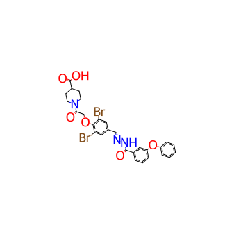 O=C(N/N=C/c1cc(Br)c(OCC(=O)N2CCC(C(=O)O)CC2)c(Br)c1)c1cccc(Oc2ccccc2)c1